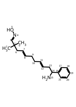 CC(C)(C=NO)CC=CCCC=CCC(N)c1ccccc1